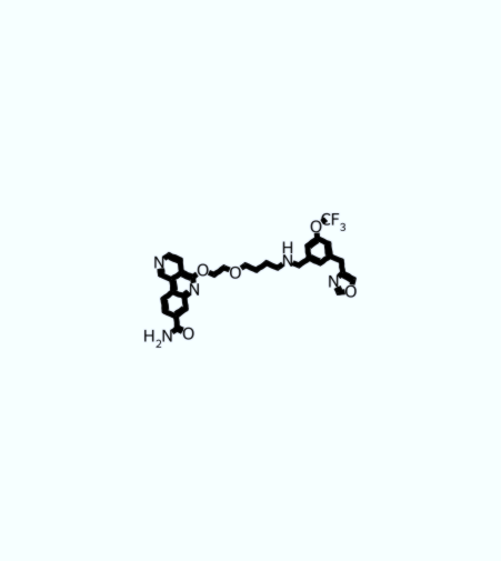 NC(=O)c1ccc2c(c1)nc(OCCOCCCCNCc1cc(Cc3cocn3)cc(OC(F)(F)F)c1)c1ccncc12